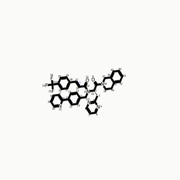 O=C([C@H](Cc1ncccn1)N(Cc1ccc(-c2ccccn2)cc1)C(=O)/C=C/c1ccc(C(F)(F)F)cc1)N1CCc2ccccc2C1